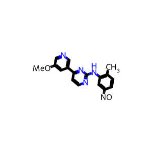 COc1cncc(-c2ccnc(Nc3cc(N=O)ccc3C)n2)c1